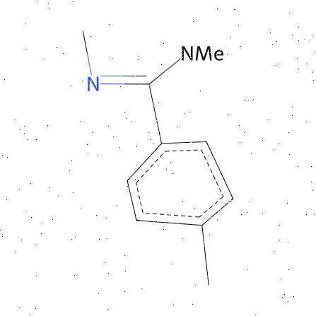 CN=C(NC)c1ccc(C)cc1